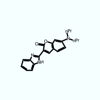 CCCN(CCC)c1ccc2cc(-c3nc4ccccc4[nH]3)c(=O)oc2c1